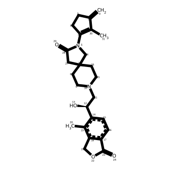 C=C1CCC(N2CC3(CCN(C[C@H](O)c4ccc5c(c4C)COC5=O)CC3)CC2=O)=C1C